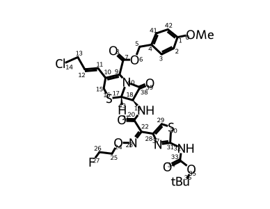 COc1ccc(COC(=O)C2=C(/C=C/CCl)CS[C@H]3[C@H](NC(=O)/C(=N\OCCF)c4csc(NC(=O)OC(C)(C)C)n4)C(=O)N23)cc1